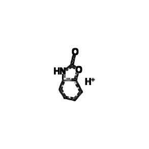 O=c1[nH]c2ccccc2o1.[H+]